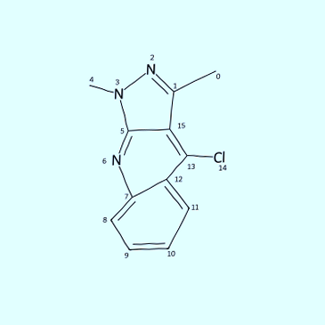 Cc1nn(C)c2nc3ccccc3c(Cl)c12